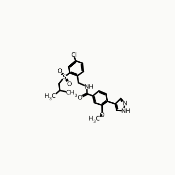 COc1cc(C(=O)NCc2ccc(Cl)cc2S(=O)(=O)CC(C)C)ccc1-c1cn[nH]c1